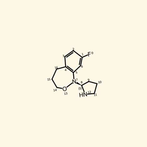 Fc1ccc2c(c1)N([C@H]1CCCN1)OCCC2